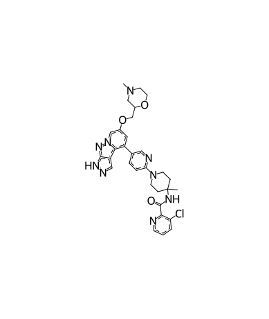 CN1CCOC(COc2cc(-c3ccc(N4CCC(C)(NC(=O)c5ncccc5Cl)CC4)nc3)c3c4cn[nH]c4nn3c2)C1